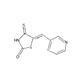 O=C1NC(=S)/C(=C/c2cccnc2)S1